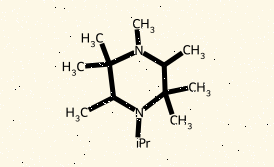 CC(C)N1C(C)C(C)(C)N(C)C(C)C1(C)C